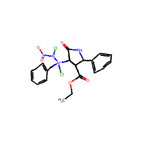 CCOC(=O)C1C(c2ccccc2)NC(=O)C1[N+](Cl)(c1ccccc1)N(Cl)[N+](=O)[O-]